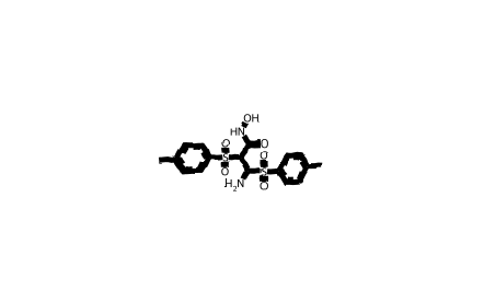 Cc1ccc(S(=O)(=O)C(N)C(C(=O)NO)S(=O)(=O)c2ccc(C)cc2)cc1